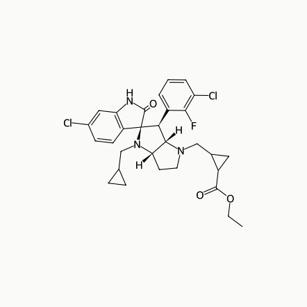 CCOC(=O)C1CC1CN1CC[C@H]2[C@@H]1[C@H](c1cccc(Cl)c1F)[C@]1(C(=O)Nc3cc(Cl)ccc31)N2CC1CC1